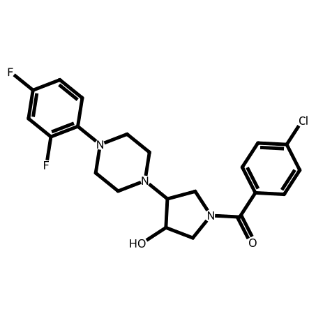 O=C(c1ccc(Cl)cc1)N1CC(O)C(N2CCN(c3ccc(F)cc3F)CC2)C1